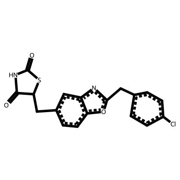 O=C1NC(=O)C(Cc2ccc3oc(Cc4ccc(Cl)cc4)nc3c2)S1